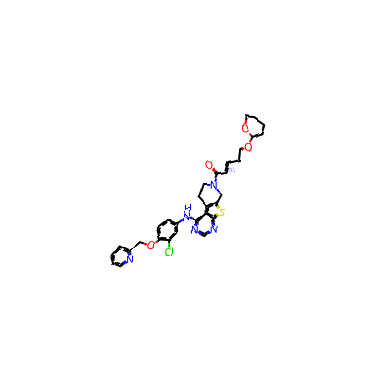 O=C(/C=C/CCOC1CCCCO1)N1CCc2c(sc3ncnc(Nc4ccc(OCc5ccccn5)c(Cl)c4)c23)C1